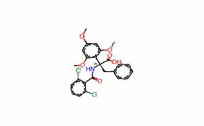 COc1cc(OC)c([C@@](Cc2ccccc2)(NC(=O)c2c(Cl)cccc2Cl)C(=O)O)c(OC)c1